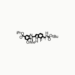 COc1cc(C(=O)OC(C)C)cc2nc(-c3cc4ccc([C@@H](C)NC(=O)OC(C)(C)C)c(F)c4[nH]3)n(C)c12